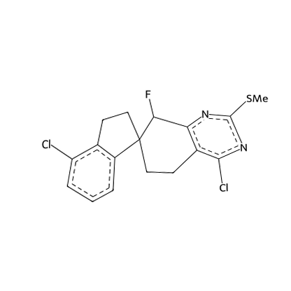 CSc1nc(Cl)c2c(n1)C(F)C1(CCc3c(Cl)cccc31)CC2